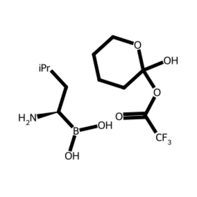 CC(C)C[C@H](N)B(O)O.O=C(OC1(O)CCCCO1)C(F)(F)F